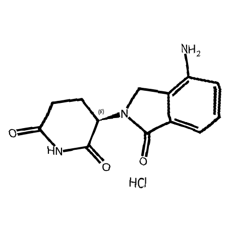 Cl.Nc1cccc2c1CN([C@@H]1CCC(=O)NC1=O)C2=O